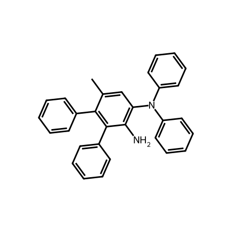 Cc1cc(N(c2ccccc2)c2ccccc2)c(N)c(-c2ccccc2)c1-c1ccccc1